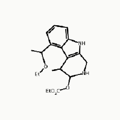 CCOC(=O)OC1NCc2[nH]c3cccc(C(C)OCC)c3c2C1C